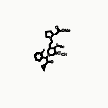 COC(=O)C[C@@H]1CCCN1CC=C1CN(C(C(=O)C2CC2)c2ccccc2F)CCC1SC(C)=O.Cl.Cl